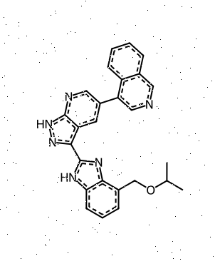 CC(C)OCc1cccc2[nH]c(-c3n[nH]c4ncc(-c5cncc6ccccc56)cc34)nc12